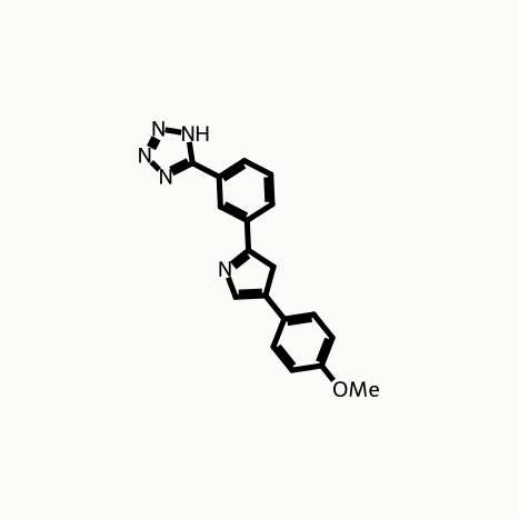 COc1ccc(C2=CN=C(c3cccc(-c4nnn[nH]4)c3)C2)cc1